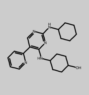 OC1CCC(Nc2nc(NC3CCCCC3)ncc2-c2ccccn2)CC1